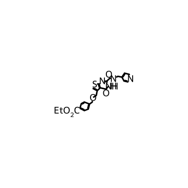 CCOC(=O)c1ccc(COCc2csc3nc(C(=O)NCc4ccncc4)[nH]c(=O)c23)cc1